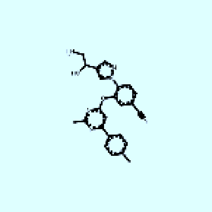 Cc1ccc(-c2cc(Oc3cc(C#N)ccc3-n3cc(C(O)CN)cn3)nc(C)n2)cc1